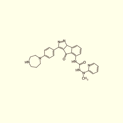 CN(NC(=O)Nc1cccc2c1C(=O)C1=C(c3ccc(N4CCCNCC4)cc3)N=NC12)c1ccccn1